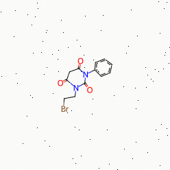 O=C1CC(=O)N(c2ccccc2)C(=O)N1CCBr